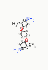 Cc1cc(N)ccc1Oc1ccc(Oc2ccc(N)cc2C(F)(F)F)cc1